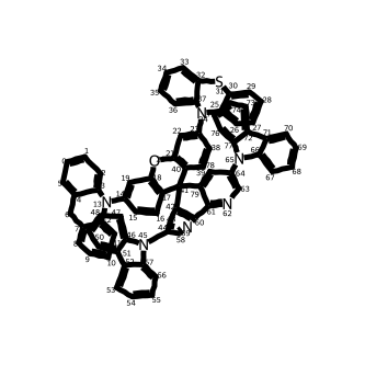 c1ccc2c(c1)Cc1ccccc1N2c1ccc2c(c1)Oc1cc(N3c4ccccc4Sc4ccccc43)ccc1C21c2cc(-n3c4ccccc4c4ccccc43)cnc2-c2ncc(-n3c4ccccc4c4ccccc43)cc21